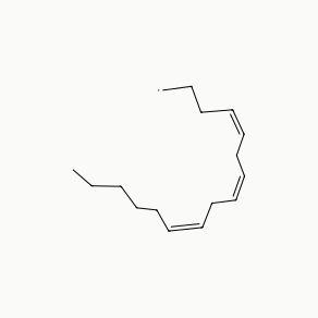 [CH2]CC/C=C\C/C=C\C/C=C\CCCCC